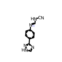 N#CN/C=N/c1ccc(-c2nc[nH]n2)cc1